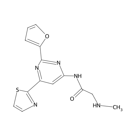 CNCC(=O)Nc1cc(-c2nccs2)nc(-c2ccco2)n1